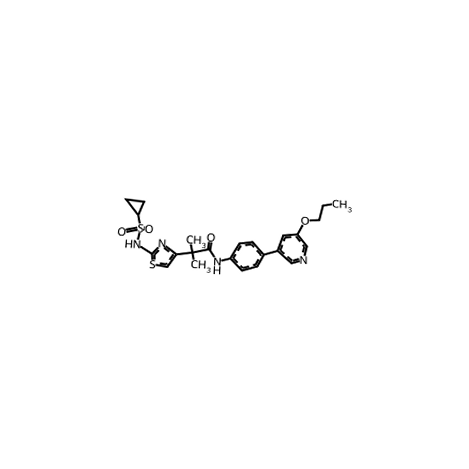 CCCOc1cncc(-c2ccc(NC(=O)C(C)(C)c3csc(NS(=O)(=O)C4CC4)n3)cc2)c1